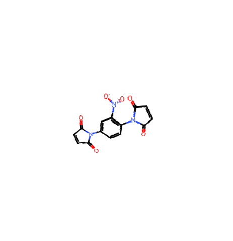 O=C1C=CC(=O)N1c1ccc(N2C(=O)C=CC2=O)c([N+](=O)[O-])c1